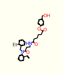 C=Cc1ccccc1N(Cc1ccccc1CC)C(=O)CCNC(=O)CCCCC(=O)Oc1ccc(CO)cc1